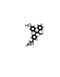 CCC(=C(c1ccc(O)cc1)c1ccc(CCNC)cc1)c1ccccc1